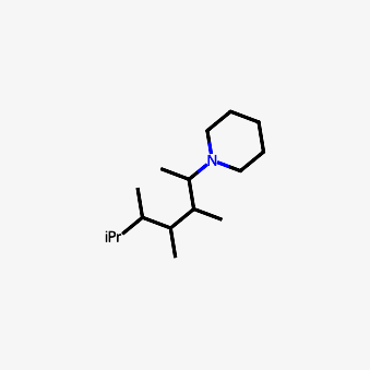 CC(C)C(C)C(C)C(C)C(C)N1CCCCC1